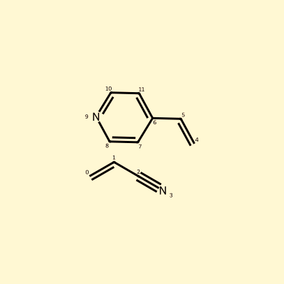 C=CC#N.C=Cc1ccncc1